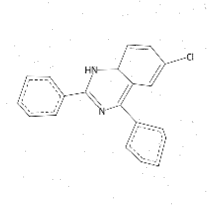 ClC1=CC2=C(c3ccccc3)N=C(c3ccccc3)NC2C=C1